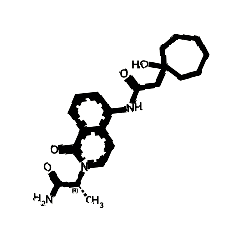 C[C@H](C(N)=O)n1ccc2c(NC(=O)CC3(O)CCCCCC3)cccc2c1=O